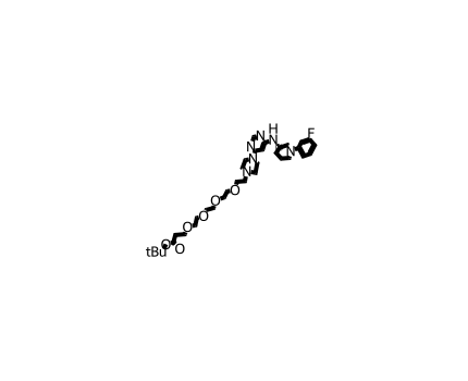 CC(C)(C)OC(=O)CCOCCOCCOCCOCCN1CCN(c2cc(N[C@@H]3CCCN(c4cccc(F)c4)C3)ncn2)CC1